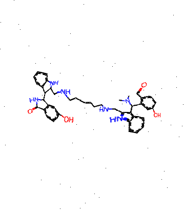 CN(C)C(c1cc(O)ccc1C=O)c1c(CNCCCCCCNCC2Nc3ccccc3C2C2NC(=O)c3ccc(O)cc32)[nH]c2ccccc12